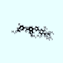 Cc1cn2cc(NC(=O)c3ccc(N4CC[C@@H](N5C[C@@H](C)N(C(=O)OC(C)(C)C)[C@@H](C)C5)C4)c4cn(C)nc34)cc(F)c2n1